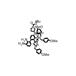 COc1ccc(CN(Cc2ccc(OC)cc2)S(=O)(=O)c2c(N(C3CCN(C(=O)OC(C)(C)C)C3)S(=O)(=O)O)ccc(-c3cccc(N)c3N)c2-c2nnn(Cc3ccc(OC)cc3)n2)cc1